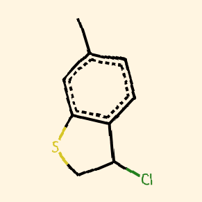 Cc1ccc2c(c1)SCC2Cl